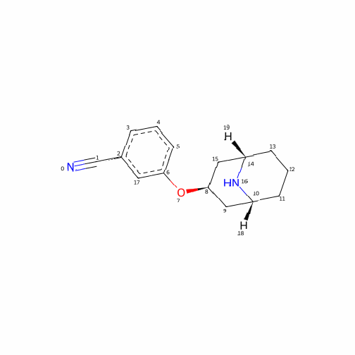 N#Cc1cccc(O[C@@H]2C[C@H]3CCC[C@@H](C2)N3)c1